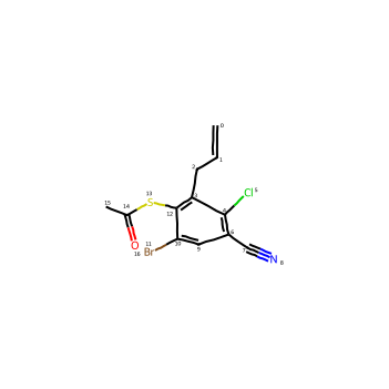 C=CCc1c(Cl)c(C#N)cc(Br)c1SC(C)=O